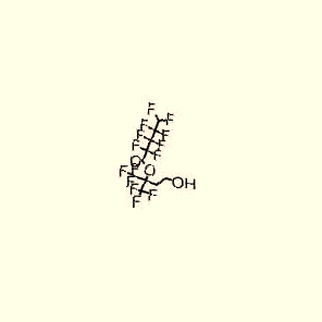 O=C(OC(CCO)(C(F)(F)F)C(F)(F)F)C(F)(F)C(F)(F)C(F)(F)C(F)F